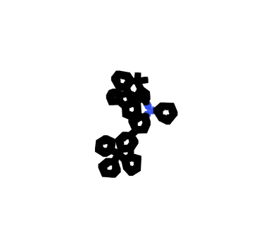 CC1(C)c2ccccc2C2(c3ccccc3-c3ccccc32)c2cc(N(c3ccccc3)c3ccc(-c4ccc5c(c4)-c4ccccc4C5(c4ccccc4)c4ccccc4)cc3)ccc21